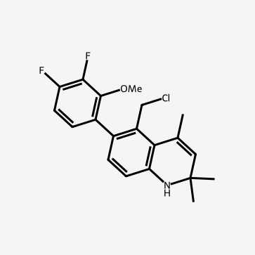 COc1c(-c2ccc3c(c2CCl)C(C)=CC(C)(C)N3)ccc(F)c1F